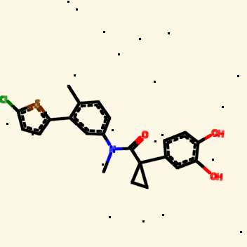 Cc1ccc(N(C)C(=O)C2(c3ccc(O)c(O)c3)CC2)cc1-c1ccc(Cl)s1